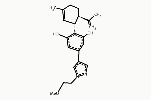 C=C(C)[C@@H]1CCC(C)=C[C@H]1c1c(O)cc(-c2cnn(CCOC)c2)cc1O